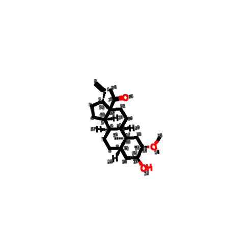 C=C[C@H]1CC[C@H]2[C@@H]3CC[C@H]4C[C@H](O)[C@@H](OC)C[C@]4(C)[C@H]3CCC12C(C)=O